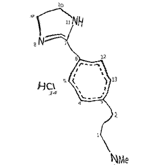 CNCCc1ccc(C2=NCCN2)cc1.Cl